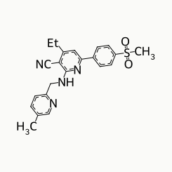 CCc1cc(-c2ccc(S(C)(=O)=O)cc2)nc(NCc2ccc(C)cn2)c1C#N